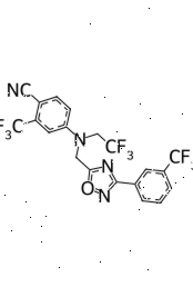 N#Cc1ccc(N(Cc2nc(-c3cccc(C(F)(F)F)c3)no2)CC(F)(F)F)cc1C(F)(F)F